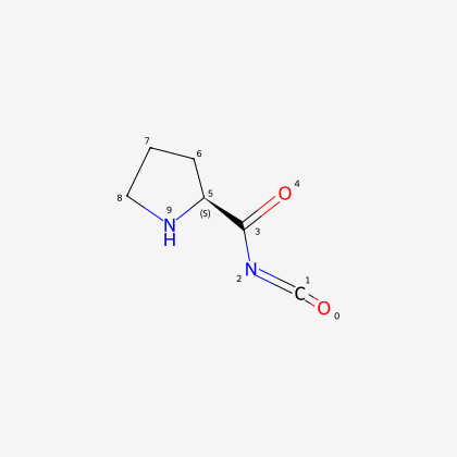 O=C=NC(=O)[C@@H]1CCCN1